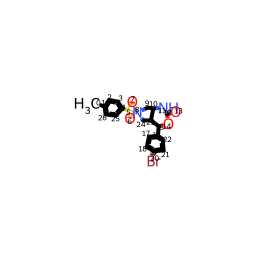 Cc1ccc(S(=O)(=O)N2CC3NC(=O)OC(c4ccc(Br)cc4)C3C2)cc1